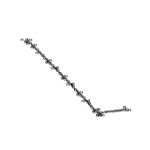 CN[C@@H](CCCCNC(=O)COCCOCCNCCOCCOCCNC(=O)COCCOCCNC(=O)COCCOCCNC(=O)COCCOCCNC(=O)COCCOCCNC(=O)COCCOCCNC(=O)COCCOCCNC(=O)CC[C@H](NC(=O)CCCCCCCCCCCCCCCCCCC(=O)O)C(=O)O)C(=O)O